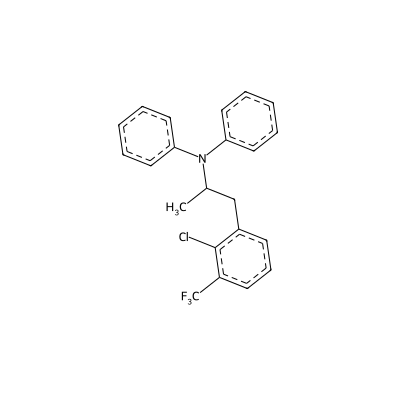 CC(Cc1cccc(C(F)(F)F)c1Cl)N(c1ccccc1)c1ccccc1